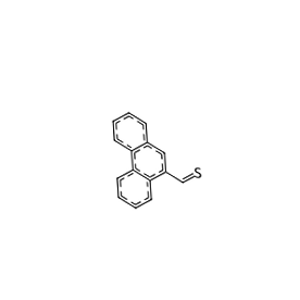 S=Cc1cc2ccccc2c2ccccc12